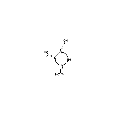 O=C(O)CCN1CCCN(CCC(=O)O)CCN(CCOCO)CCCNCC1